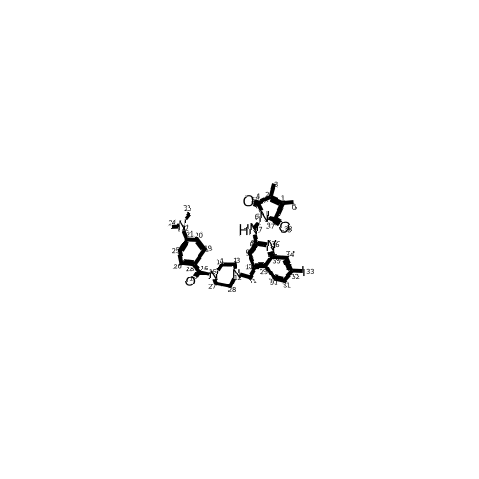 CC1=C(C)C(=O)N(Nc2cc(CN3CCN(C(=O)c4ccc(N(C)C)cc4)CC3)c3ccc(I)cc3n2)C1=O